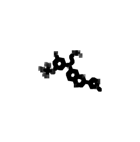 [2H]C([2H])([2H])Oc1cc(F)cc(N(CCN)c2ccc3ncc(-c4cnn(C)c4)nc3c2)c1